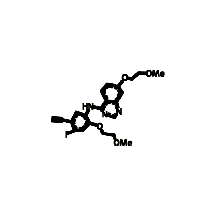 C#Cc1cc(Nc2ncnc3cc(OCCOC)ccc23)c(OCCOC)cc1F